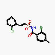 Cc1ccc(C(=O)NS(=O)(=O)C=Cc2ccccc2Cl)c(Br)c1